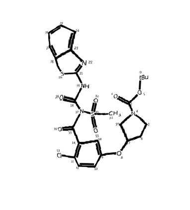 CC(C)(C)OC(=O)N1CCC(Oc2ccc(Cl)c(C(=O)N(C(=O)Nc3nc4ccccc4s3)S(C)(=O)=O)c2)C1